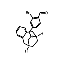 O=Cc1ccc(CN2C[C@@H]3CC[C@H]2Cc2ccccc2C3)cc1Br